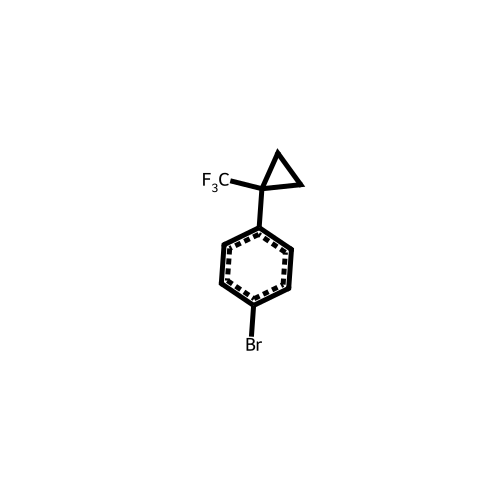 FC(F)(F)C1(c2ccc(Br)cc2)CC1